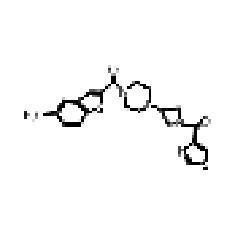 O=C(c1cscn1)N1CC(N2CCN(C(=O)c3cc4cc(C(F)(F)F)ccc4s3)CC2)C1